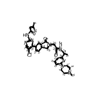 Cc1cc(Nc2ncc(Cl)c(-c3ccc4c(c3)C(=O)N(CC(=O)NC(C)c3cccc(N5CCN(C)CC5)n3)C4)n2)on1